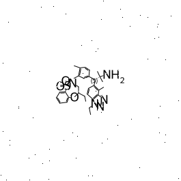 CCC1CN(Cc2cc([C@@H](c3ccc4c(nnn4CC)c3C)C(C)(C)N)ccc2C)S(=O)(=O)c2ccccc2O1